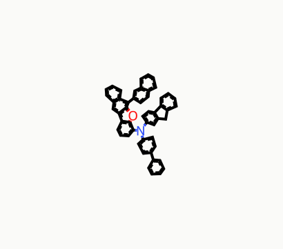 c1ccc(-c2ccc(N(c3ccc4c(c3)Cc3ccccc3-4)c3cccc4c3oc3c(-c5ccc6ccccc6c5)c5ccccc5cc34)cc2)cc1